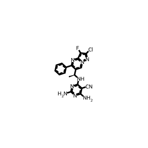 C[C@H](Nc1nc(N)nc(N)c1C#N)c1cn2nc(Cl)c(F)c2nc1-c1ccccc1